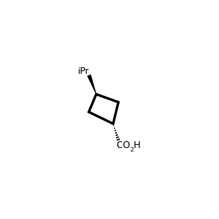 CC(C)[C@H]1C[C@H](C(=O)O)C1